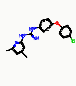 Cc1cc(C)nc(NC(=N)Nc2ccc(Oc3ccc(Cl)cc3)cc2)c1